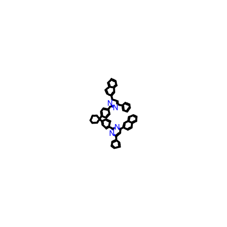 c1ccc(-c2cc(-c3ccc4ccccc4c3)nc(-c3ccc(C4(c5ccc(-c6nc(-c7ccccc7)cc(-c7ccc8ccccc8c7)n6)cc5)CCCCC4)cc3)n2)cc1